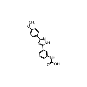 COc1ccc(-c2n[nH]c(-c3cccc(NC(=O)O)c3)n2)cc1